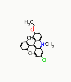 CCOc1ccc2c(c1)c(-c1c(C)cccc1C)c1ccc(Cl)cc1[n+]2C